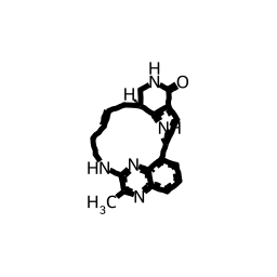 Cc1nc2cccc3c2nc1NCC/C=C/C[C@H]1CNC(=O)c2cc-3[nH]c21